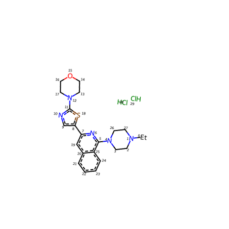 CCN1CCN(c2nc(-c3cnc(N4CCOCC4)s3)cc3ccccc23)CC1.Cl.Cl